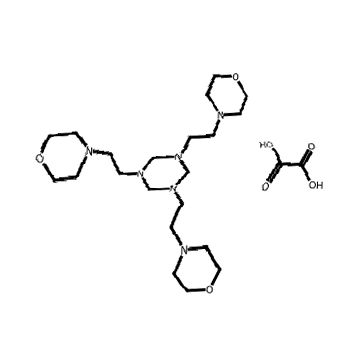 C1CN(CCN2CN(CCN3CCOCC3)CN(CCN3CCOCC3)C2)CCO1.O=C(O)C(=O)O